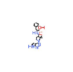 O=C(NC(CO)Cc1ccccc1)C1CCN(c2ncnc3[nH]ccc23)CC12CC2